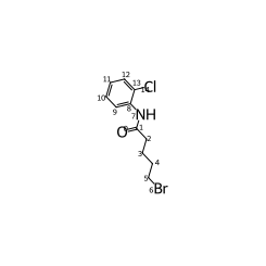 O=C(CCCCBr)Nc1ccccc1Cl